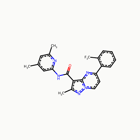 Cc1cc(C)nc(NC(=O)c2c(C)nn3ccc(-c4ccccc4C(F)(F)F)nc23)c1